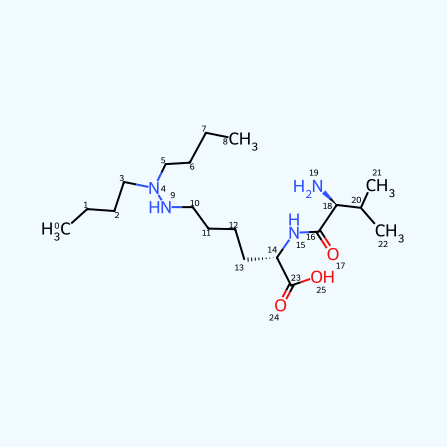 CCCCN(CCCC)NCCCC[C@H](NC(=O)[C@@H](N)C(C)C)C(=O)O